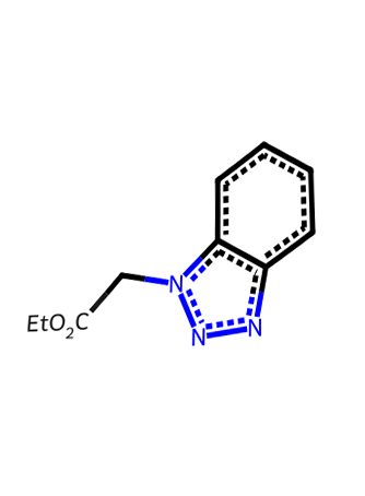 CCOC(=O)Cn1nnc2ccccc21